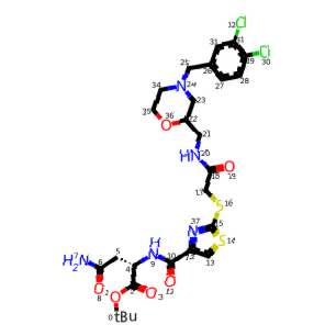 CC(C)(C)OC(=O)[C@H](CC(N)=O)NC(=O)c1csc(SCC(=O)NCC2CN(Cc3ccc(Cl)c(Cl)c3)CCO2)n1